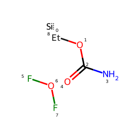 CCOC(N)=O.FOF.[Si]